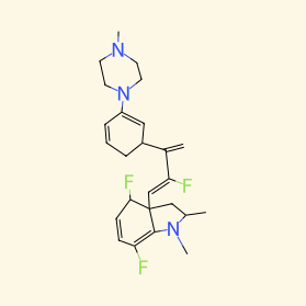 C=C(C(F)=CC12CC(C)N(C)C1=C(F)C=CC2F)C1C=C(N2CCN(C)CC2)C=CC1